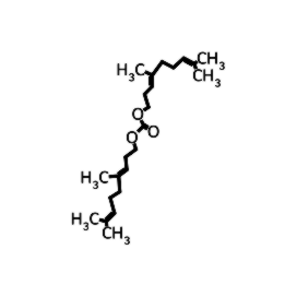 CC(C)=CCC/C(C)=C/CCOC(=O)OCC/C=C(\C)CCC=C(C)C